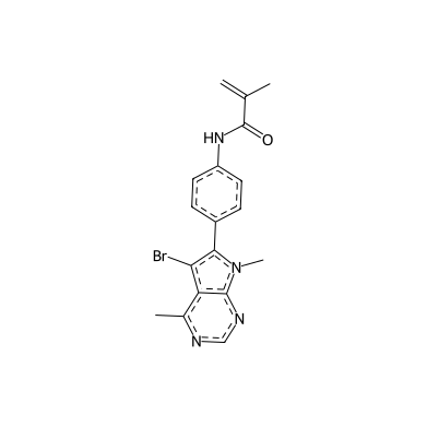 C=C(C)C(=O)Nc1ccc(-c2c(Br)c3c(C)ncnc3n2C)cc1